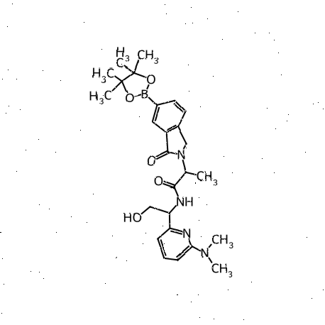 CC(C(=O)NC(CO)c1cccc(N(C)C)n1)N1Cc2ccc(B3OC(C)(C)C(C)(C)O3)cc2C1=O